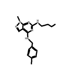 CCCCNc1nc(NCc2ccc(C)cc2)c2cnn(C)c2n1